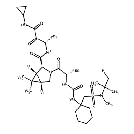 CCC[C@H](NC(=O)[C@@H]1[C@@H]2[C@H](CN1C(=O)[C@@H](NC(=O)NC1(CS(=O)(=O)N(C)C(C)(C)CF)CCCCC1)C(C)(C)C)C2(C)C)C(=O)C(=O)NC1CC1